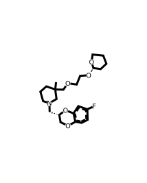 CC1(COCCO[C@H]2CCCCO2)CCCN(C[C@H]2COc3ccc(F)cc3O2)C1